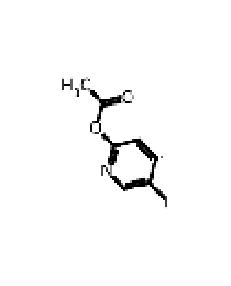 CC(=O)Oc1c[c]c(I)cn1